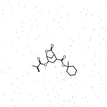 C=C(C)C(=O)OC1CC(C(=O)OC2(C)CCCCC2)C2CC1OC2=O